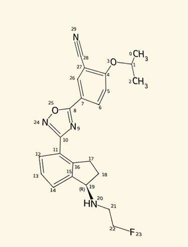 CC(C)Oc1ccc(-c2nc(-c3cccc4c3CC[C@H]4NCCF)no2)cc1C#N